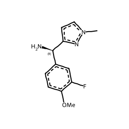 COc1ccc([C@@H](N)c2ccn(C)n2)cc1F